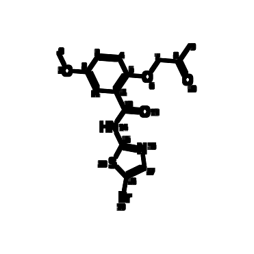 COc1ccc(OCC(C)=O)c(C(=O)Nc2ncc(Br)s2)c1